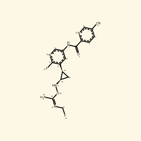 N#Cc1ccc(C(=O)Nc2cnc(F)c([C@H]3C[C@H]3NO/C(N)=N\CF)c2)nc1